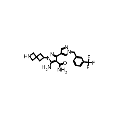 NC(=O)c1c(-c2cnn(Cc3cccc(C(F)(F)F)c3)c2)nn(C2CC3(CNC3)C2)c1N